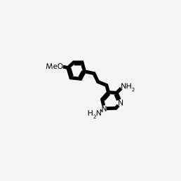 COc1ccc(CCCC2=CN(N)CN=C2N)cc1